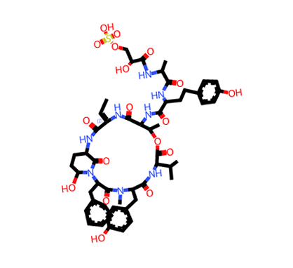 C/C=C1\NC(=O)C(NC(=O)C(CCc2ccc(O)cc2)NC(=O)C(C)NC(=O)C(O)COS(=O)(=O)O)C(C)OC(=O)C(C(C)C)NC(=O)C(Cc2ccc(O)cc2)N(C)C(=O)C(Cc2ccccc2)N2C(=O)C(CCC2O)NC1=O